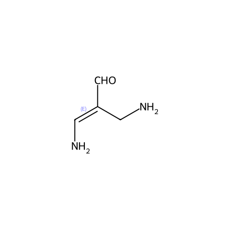 N/C=C(/C=O)CN